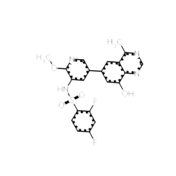 COc1ncc(-c2cc(O)c3ncnc(C)c3c2)cc1NS(=O)(=O)c1ccc(F)cc1F